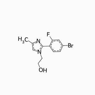 Cc1cn(CCO)c(-c2ccc(Br)cc2F)n1